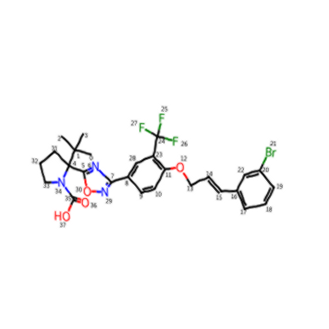 CC(C)(C)C1(c2nc(-c3ccc(OCC=Cc4cccc(Br)c4)c(C(F)(F)F)c3)no2)CCCN1C(=O)O